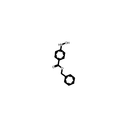 O=C(OCc1ccccc1)c1ccc(NO)cc1